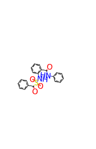 O=C(Nc1ccccc1)c1ccccc1NS(=O)(=O)C(=O)c1ccccc1